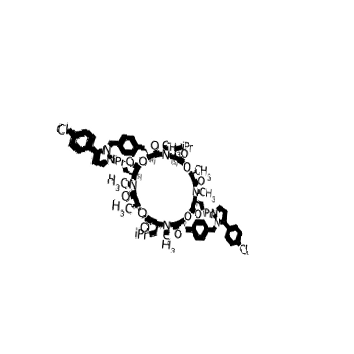 CC(C)C[C@H]1C(=O)O[C@H](Cc2ccc(Cn3nccc3-c3ccc(Cl)cc3)cc2)C(=O)N(C)[C@@H](CC(C)C)C(=O)O[C@H](C)C(=O)N(C)[C@@H](CC(C)C)C(=O)O[C@H](Cc2ccc(Cn3nccc3-c3ccc(Cl)cc3)cc2)C(=O)N(C)[C@@H](CC(C)C)C(=O)O[C@H](C)C(=O)N1C